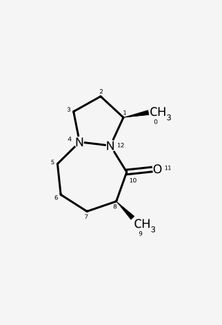 C[C@@H]1CCN2CCC[C@H](C)C(=O)N12